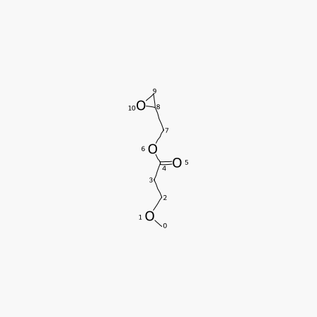 COCCC(=O)OCC1CO1